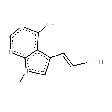 Cn1cc(/C=C/C(=O)O)c2c(N)ncnc21